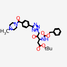 CN1CCN(C(=O)c2ccc(-c3nnn(CC(=O)C(CC(=O)OC(C)(C)C)NC(=O)OCc4ccccc4)n3)cc2)CC1